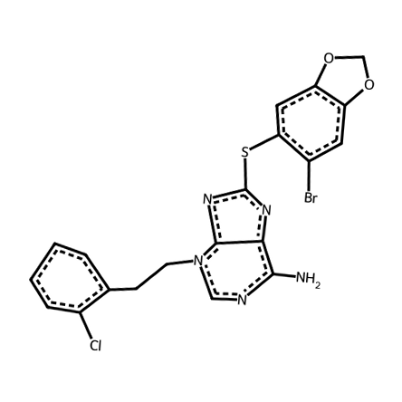 Nc1ncn(CCc2ccccc2Cl)c2nc(Sc3cc4c(cc3Br)OCO4)nc1-2